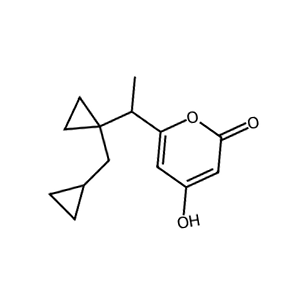 CC(c1cc(O)cc(=O)o1)C1(CC2CC2)CC1